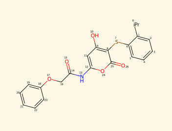 CC(C)c1ccccc1Sc1c(O)cc(NC(=O)COc2ccccc2)oc1=O